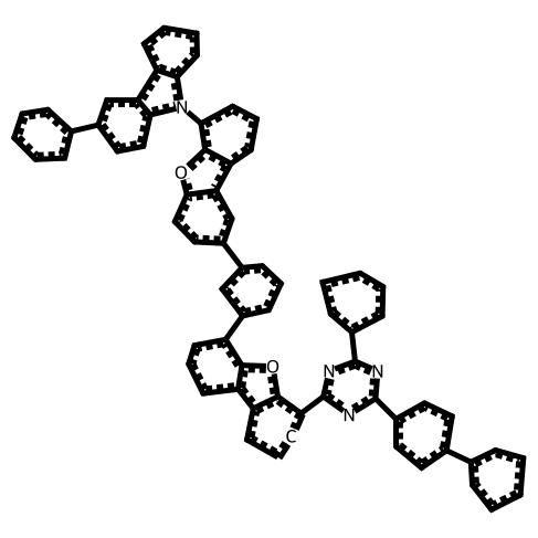 c1ccc(-c2ccc(-c3nc(-c4ccccc4)nc(-c4cccc5c4oc4c(-c6cccc(-c7ccc8oc9c(-n%10c%11ccccc%11c%11cc(-c%12ccccc%12)ccc%11%10)cccc9c8c7)c6)cccc45)n3)cc2)cc1